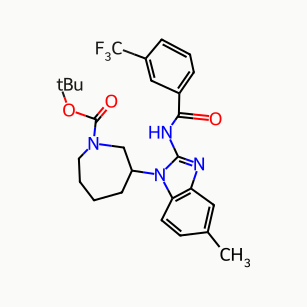 Cc1ccc2c(c1)nc(NC(=O)c1cccc(C(F)(F)F)c1)n2C1CCCCN(C(=O)OC(C)(C)C)C1